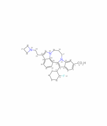 O=C(O)c1ccc2c(C3CCCCC3F)c3n(c2c1)CCCn1cc(CCN2CCC2)c2cccc-3c21